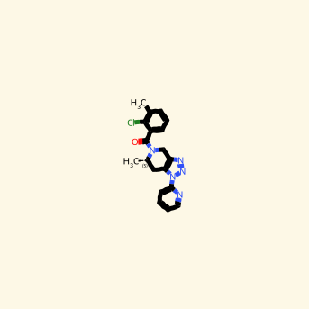 Cc1cccc(C(=O)N2Cc3nnn(-c4ccccn4)c3C[C@@H]2C)c1Cl